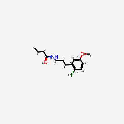 CCCC(=O)NCCCc1cc(OC)ccc1F